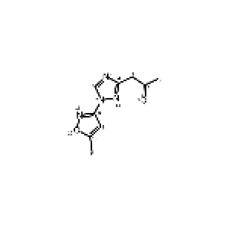 CC(=O)Cc1ncn(-c2cc(C)on2)n1